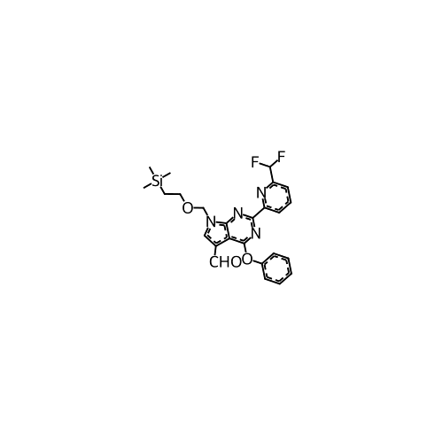 C[Si](C)(C)CCOCn1cc(C=O)c2c(Oc3ccccc3)nc(-c3cccc(C(F)F)n3)nc21